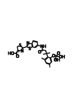 Cc1cc(C)c(C(C)(C)CC(=O)Nc2ccc3nc(C4=N[C@@H](C(=O)O)CS4)sc3c2)c(OP(=O)(O)O)c1